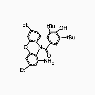 CCc1ccc2c(c1)Oc1cc(CC)cc(N)c1N2C(=O)c1cc(C(C)(C)C)c(O)c(C(C)(C)C)c1